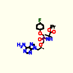 CC(C)OC(=O)C(C)(C)N[P@@](=O)(COc1ccc(F)cc1)CO[C@H](C)Cn1cnc2c(N)ncnc21